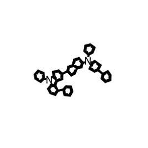 c1ccc(-c2ccc(N(c3ccccc3)c3ccc4cc(-c5ccc6c(c5)c5c(-c7ccccc7)cccc5n6-c5ccccc5)ccc4c3)cc2)cc1